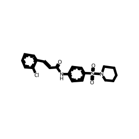 O=C(/C=C/c1ccccc1Cl)Nc1ccc(S(=O)(=O)N2CCCCC2)cc1